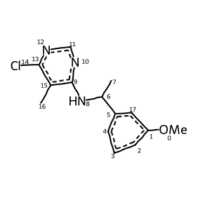 COc1cccc(C(C)Nc2ncnc(Cl)c2C)c1